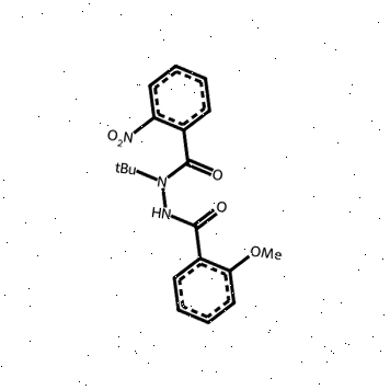 COc1ccccc1C(=O)NN(C(=O)c1ccccc1[N+](=O)[O-])C(C)(C)C